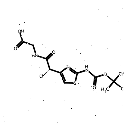 CC(C)(C)OC(=O)Nc1nc([C@H](Cl)C(=O)NCC(=O)O)cs1